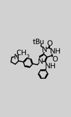 CN1CCCC1c1ccc(Cn2cc3c(c2Nc2ccccc2)c(=O)[nH]c(=O)n3CC(C)(C)C)cc1